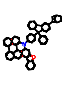 c1ccc(-c2cccc3cccc(-c4ccccc4N(c4ccc(C5(c6ccccc6)c6ccccc6-c6cc(C7CC8CCC7C8)ccc65)cc4)c4ccc5c(c4)oc4ccccc45)c23)cc1